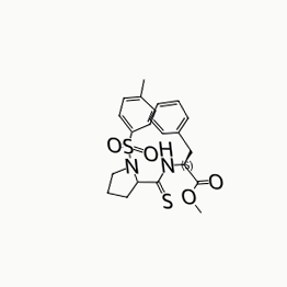 COC(=O)[C@H](Cc1ccccc1)NC(=S)C1CCCN1S(=O)(=O)c1ccc(C)cc1